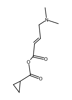 CN(C)CC=CC(=O)OC(=O)C1CC1